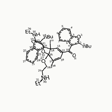 CCCCc1oc2ccccc2c1C(=O)C1=CC(I)(c2c(CCCC)oc3ccccc23)C(OCCNCC)(OCCNCC)C(I)=C1